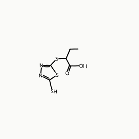 CCC(Sc1nnc(S)s1)C(=O)O